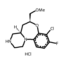 COC[C@@H]1C[C@@H]2CNCCN2c2ccc(F)c(Cl)c2O1.Cl